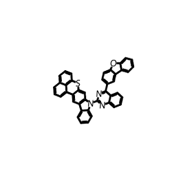 c1cc2c3c(cccc3c1)-c1cc3c4ccccc4n(-c4nc(-c5ccc6oc7ccccc7c6c5)c5ccccc5n4)c3cc1S2